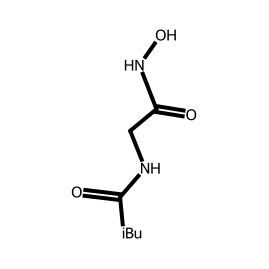 CCC(C)C(=O)NCC(=O)NO